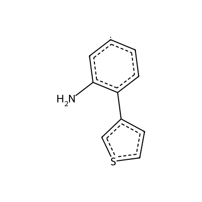 Nc1c[c]ccc1-c1ccsc1